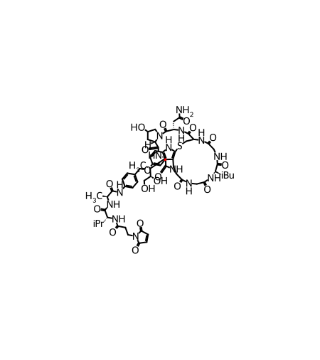 CC[C@H](C)[C@@H]1NC(=O)CNC(=O)C2Cc3c([nH]c4ccc(OCc5ccc(NC(=O)[C@H](C)NC(=O)[C@H](NC(=O)CCN6C(=O)C=CC6=O)C(C)C)cc5)cc34)SCC(NC(=O)CNC1=O)C(=O)N[C@@H](CC(N)=O)C(=O)N1CC(O)C[C@H]1C(=O)N[C@@H]([C@@H](C)[C@@H](O)CO)C(=O)N2